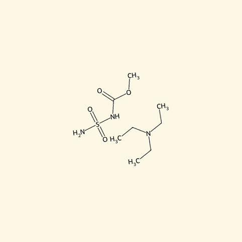 CCN(CC)CC.COC(=O)NS(N)(=O)=O